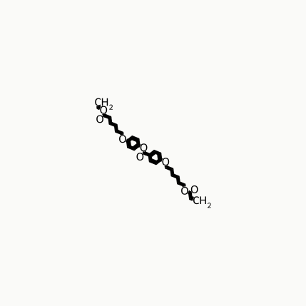 C=COC(=O)CCCCCOc1ccc(OC(=O)c2ccc(OCCCCCCOC(=O)C=C)cc2)cc1